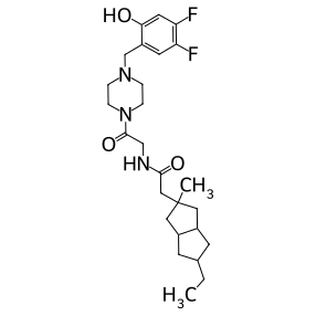 CCC1CC2CC(C)(CC(=O)NCC(=O)N3CCN(Cc4cc(F)c(F)cc4O)CC3)CC2C1